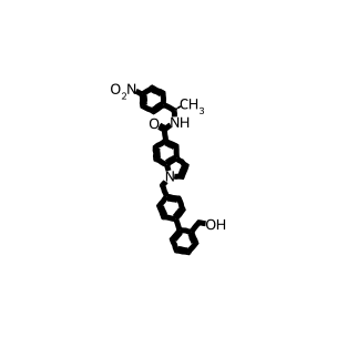 C[C@H](NC(=O)c1ccc2c(ccn2Cc2ccc(-c3ccccc3CO)cc2)c1)c1ccc([N+](=O)[O-])cc1